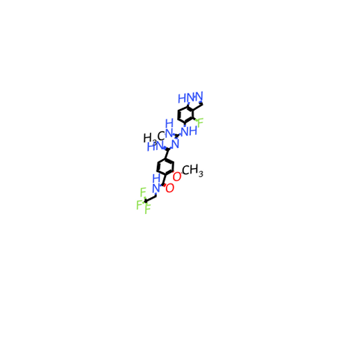 CN/C(=N\C(=N)c1ccc(C(=O)NCC(F)(F)F)c(OC)c1)Nc1ccc2[nH]ncc2c1F